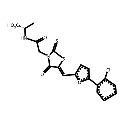 C[C@H](NC(=O)CN1C(=O)C(=Cc2ccc(-c3ccccc3Cl)o2)SC1=S)C(=O)O